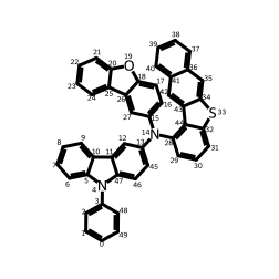 c1ccc(-n2c3ccccc3c3cc(N(c4ccc5oc6ccccc6c5c4)c4cccc5sc6cc7ccccc7cc6c45)ccc32)cc1